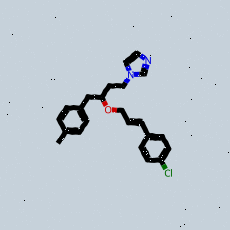 Cc1ccc(CC(CCn2ccnc2)OC/C=C/c2ccc(Cl)cc2)cc1